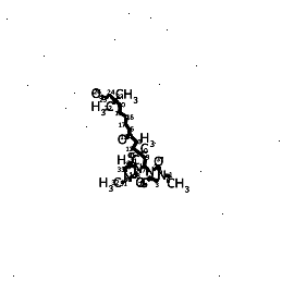 CCN1CC(=S)N(C(CC(C)(C)CCC(=O)CCCCCC(C)(C)CC=O)N2C(=O)N(CC)CC2=S)C1=O